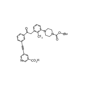 CC(C)(C)OC(=O)N1CCN(c2cccc(CC(=O)c3cccc(C#Cc4cncc(C(=O)O)c4)c3)c2C(F)(F)F)CC1